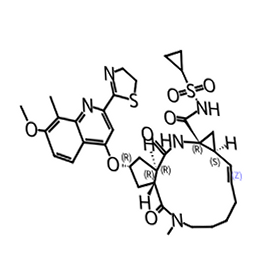 COc1ccc2c(O[C@@H]3C[C@H]4C(=O)N[C@]5(C(=O)NS(=O)(=O)C6CC6)C[C@H]5/C=C\CCCCN(C)C(=O)[C@@H]4C3)cc(C3=NCCS3)nc2c1C